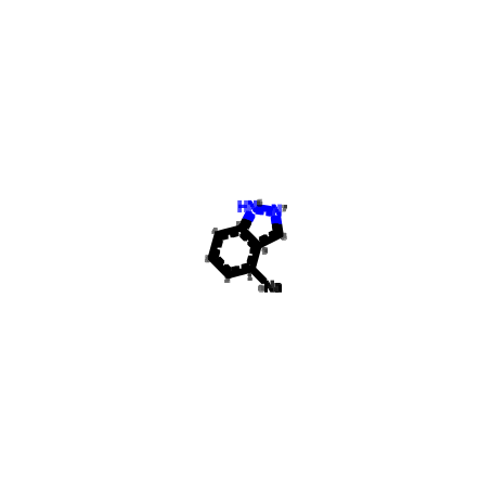 [Na][c]1cccc2[nH]ncc12